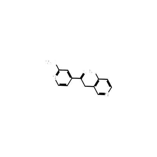 COc1cc(C(=O)Cc2cnccc2C#N)ccn1